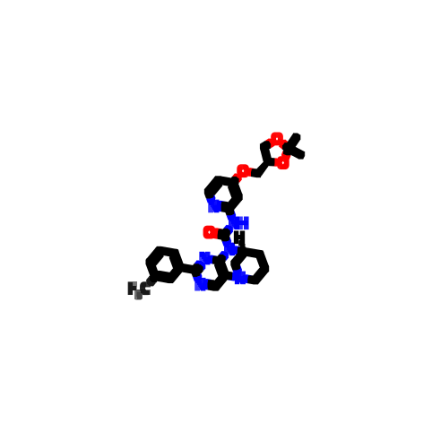 CC1(C)OC[C@H](COc2ccnc(NC(=O)N3c4nc(-c5cccc(C(F)(F)F)c5)ncc4N4CCC[C@H]3C4)c2)O1